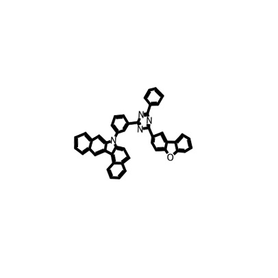 c1ccc(-c2nc(-c3cccc(-n4c5cc6ccccc6cc5c5c6ccccc6ccc54)c3)nc(-c3ccc4oc5ccccc5c4c3)n2)cc1